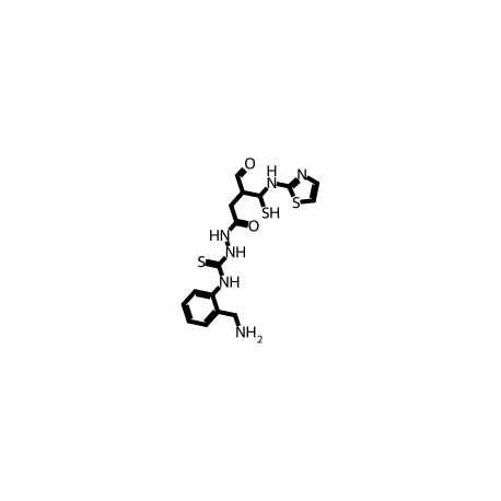 NCc1ccccc1NC(=S)NNC(=O)CC(C=O)C(S)Nc1nccs1